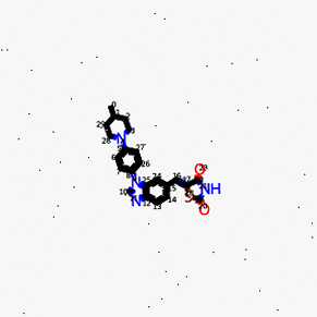 CC1CCN(c2ccc(-n3cnc4ccc(/C=C5\SC(=O)NC5=O)cc43)cc2)CC1